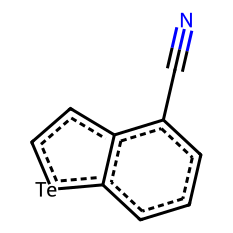 N#Cc1cccc2[te]ccc12